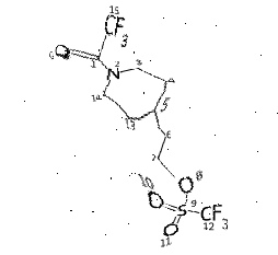 O=C(N1CCC(CCOS(=O)(=O)C(F)(F)F)CC1)C(F)(F)F